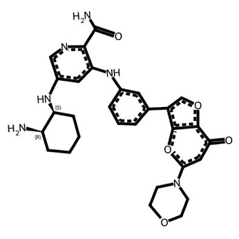 NC(=O)c1ncc(N[C@H]2CCCC[C@H]2N)cc1Nc1cccc(-c2coc3c(=O)cc(N4CCOCC4)oc23)c1